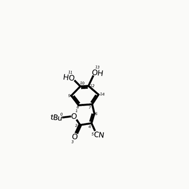 CC(C)(C)OC(=O)C(C#N)=Cc1ccc(O)c(O)c1